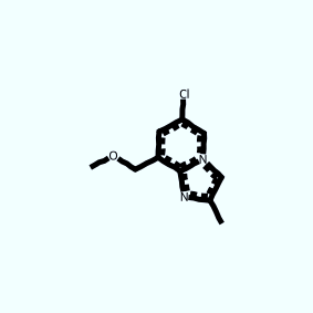 COCc1cc(Cl)cn2cc(C)nc12